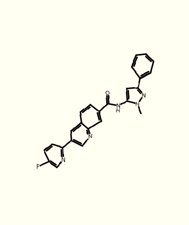 Cn1nc(-c2ccccc2)cc1NC(=O)c1ccc2cc(-c3ccc(F)cn3)cnc2c1